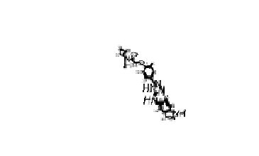 Cc1cc(-c2nnc(Nc3ccc4[nH]ncc4c3)[nH]2)ccc1OCC(=O)NC1CCC1